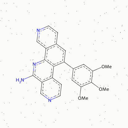 COc1cc(-c2cc3ccncc3c3nc(N)c4cnccc4c23)cc(OC)c1OC